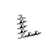 CC(C)OP(O)O.CC(C)SC(=N)N.CC(C)SC(=N)N.CC(C)SC(=N)N.CC(C)SC(=N)N.CC(C)SC(=N)N.OP(O)O